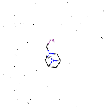 CN1C2CC1CN(CP)C2